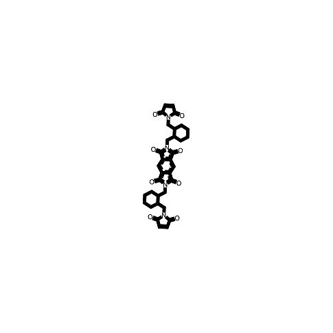 O=C1C=CC(=O)N1CC1CCCCC1Cn1c(=O)c2cc3c(=O)n(CC4CCCCC4CN4C(=O)C=CC4=O)c(=O)c3cc2c1=O